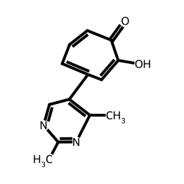 Cc1ncc(-c2cccc(=O)c(O)c2)c(C)n1